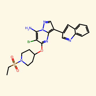 CCS(=O)(=O)N1CCC(Oc2nc3c(-c4cnc5ccccc5c4)cnn3c(N)c2Br)CC1